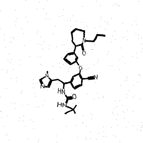 CCCN1CCCCC(c2cccc(Oc3cc(C(Cc4cncn4C)NC(=O)NC(C)(C)C)ccc3C#N)c2)C1=O